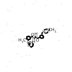 Cc1ccc(C(=O)NNC(=O)c2cccc(CN3CCN(C)CC3)c2)cc1Oc1ncccn1